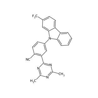 Cc1nc(C)nc(-c2cc(-n3c4ccccc4c4ccc(C(F)(F)F)cc43)ccc2C#N)n1